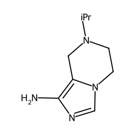 CC(C)N1CCn2cnc(N)c2C1